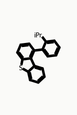 CC(C)c1ccccc1-c1cccc2sc3ccccc3c12